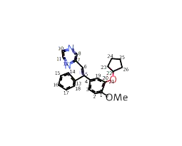 COc1ccc(/C(=C/c2cnccn2)c2ccccc2)cc1OC1CCCC1